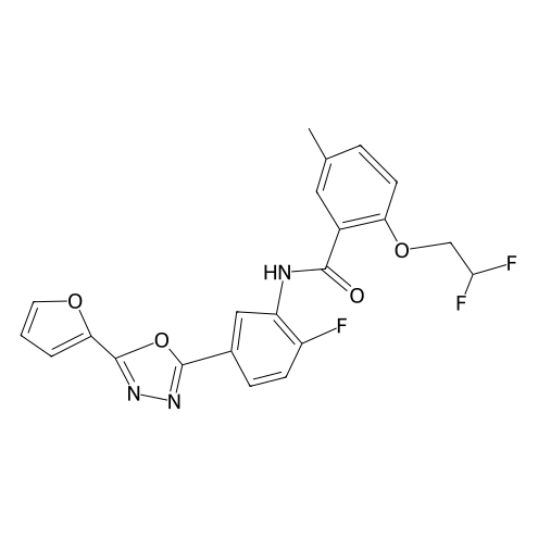 Cc1ccc(OCC(F)F)c(C(=O)Nc2cc(-c3nnc(-c4ccco4)o3)ccc2F)c1